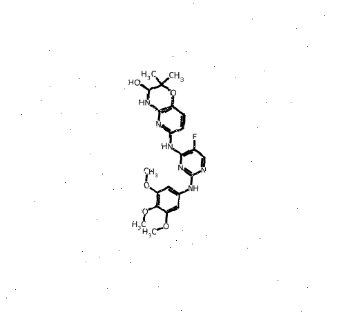 COc1cc(Nc2ncc(F)c(Nc3ccc4c(n3)NC(O)C(C)(C)O4)n2)cc(OC)c1OC